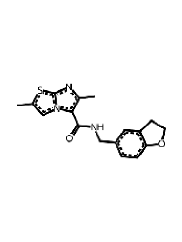 Cc1cn2c(C(=O)NCc3ccc4c(c3)CCO4)c(C)nc2s1